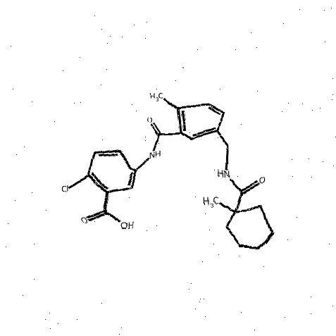 Cc1ccc(CNC(=O)C2(C)CCCCC2)cc1C(=O)Nc1ccc(Cl)c(C(=O)O)c1